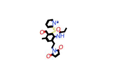 CCC(=O)Nc1c(CCN2C(=O)C=CC2=O)cc(C)c(C=O)c1Sc1cccc[n+]1C